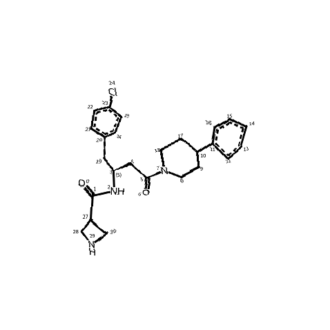 O=C(N[C@H](CC(=O)N1CCC(c2ccccc2)CC1)Cc1ccc(Cl)cc1)C1CNC1